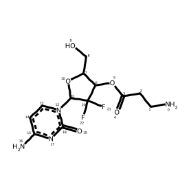 NCCC(=O)OC1C(CO)OC(n2ccc(N)nc2=O)C1(F)F